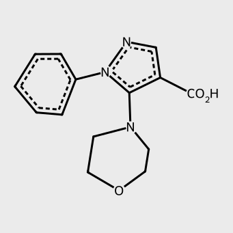 O=C(O)c1cnn(-c2ccccc2)c1N1CCOCC1